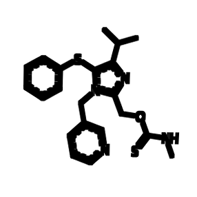 CNC(=S)OCc1nc(C(C)C)c(Sc2ccccc2)n1Cc1cccnc1